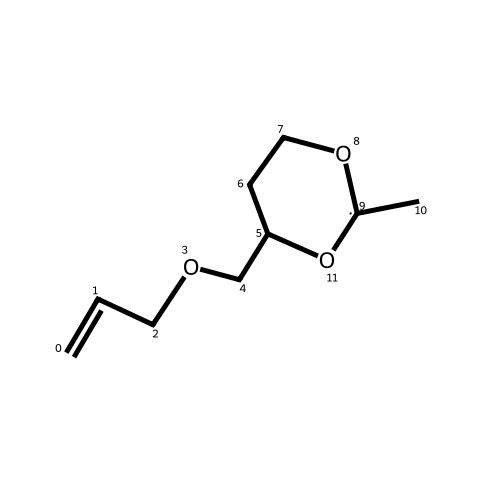 C=CCOCC1CCO[C](C)O1